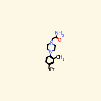 CCCc1ccc(N2CCN(CC(N)=O)CC2)c(C)c1